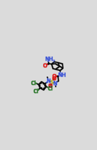 CN(CC(=O)NC1C2CC3CC1CC(C(N)=O)(C3)C2)S(=O)(=O)N(C)c1cc(Cl)c(Cl)cc1Cl